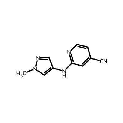 Cn1cc(Nc2cc(C#N)ccn2)cn1